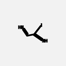 N=CC(=N)I